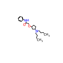 CCCCN(CCCC)C1CCC(OCC(=O)Nc2ccccc2)C1